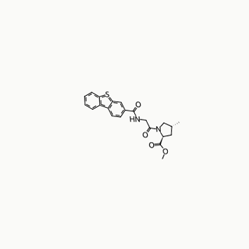 COC(=O)[C@@H]1C[C@@H](C)CN1C(=O)CNC(=O)c1ccc2c(c1)sc1ccccc12